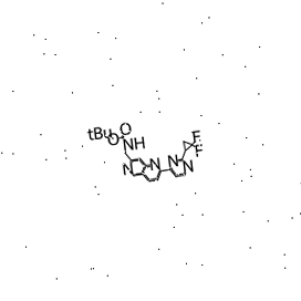 CC(C)(C)OC(=O)NCc1cc2nc(-c3ccnc(C4CC4(F)F)n3)ccc2cn1